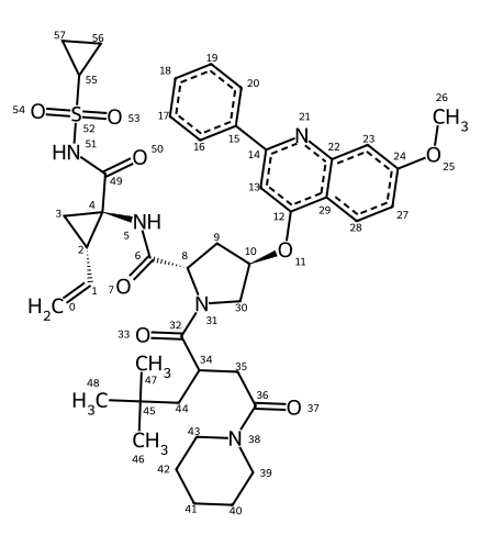 C=C[C@@H]1C[C@]1(NC(=O)[C@@H]1C[C@@H](Oc2cc(-c3ccccc3)nc3cc(OC)ccc23)CN1C(=O)C(CC(=O)N1CCCCC1)CC(C)(C)C)C(=O)NS(=O)(=O)C1CC1